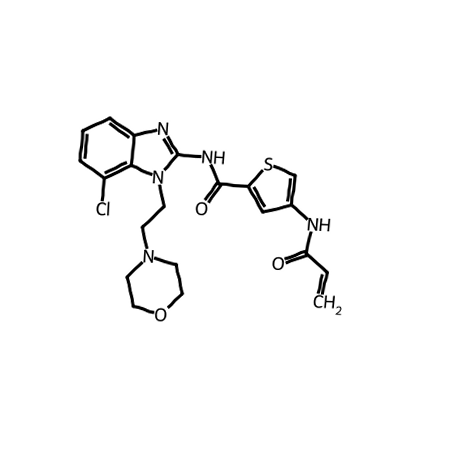 C=CC(=O)Nc1csc(C(=O)Nc2nc3cccc(Cl)c3n2CCN2CCOCC2)c1